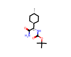 CC(C)(C)OC(=O)N[C@H](C(N)=O)[C@H]1CC[C@H](C)CC1